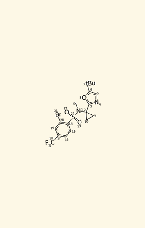 CN(C1(c2ncc(C(C)(C)C)o2)CC1)S(=O)(=O)c1ccc(C(F)(F)F)cc1Br